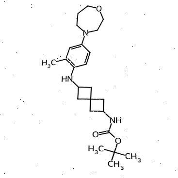 Cc1cc(N2CCCOCC2)ccc1NC1CC2(CC(NC(=O)OC(C)(C)C)C2)C1